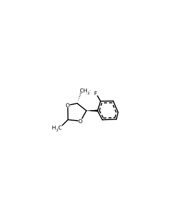 [CH2][C@H]1OC(C)O[C@@H]1c1ccccc1F